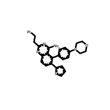 CC(C)CCc1nc(N)c2c(-c3ccc(N4CCOCC4)cc3)c(-c3cccs3)ccc2n1